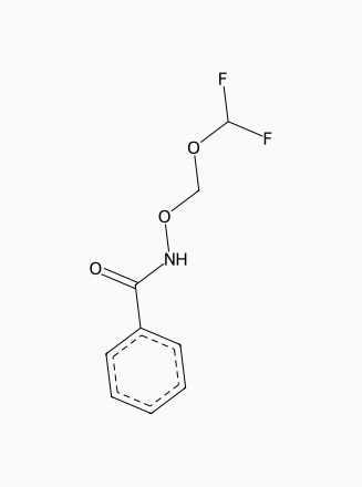 O=C(NOCOC(F)F)c1ccccc1